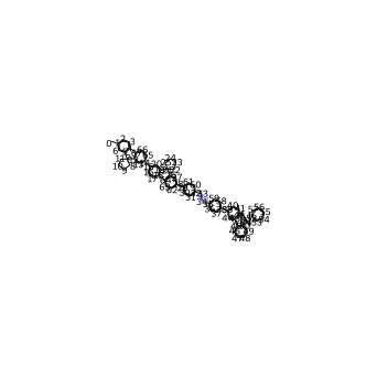 Cc1ccc2c(c1)C1(CCCC1)c1cc(-c3ccc4c(c3)C3(CCCC3)c3cc(-c5ccc(/C=C/c6ccc(-c7ccc8c(c7)c7ccccc7n8-c7ccccc7)cc6)cc5)ccc3-4)ccc1-2